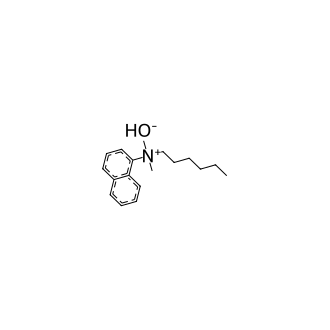 CCCCCC[N+](C)(C)c1cccc2ccccc12.[OH-]